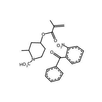 C=C(C)C(=O)OC1CCN(C(=O)O)C(C)C1.O=C(c1ccccc1)c1ccccc1[N+](=O)[O-]